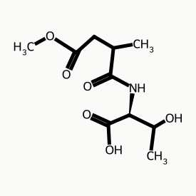 COC(=O)CC(C)C(=O)N[C@H](C(=O)O)C(C)O